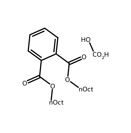 CCCCCCCCOC(=O)c1ccccc1C(=O)OCCCCCCCC.O=C(O)O